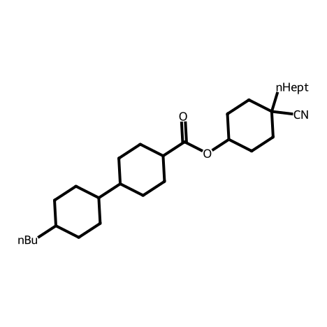 CCCCCCCC1(C#N)CCC(OC(=O)C2CCC(C3CCC(CCCC)CC3)CC2)CC1